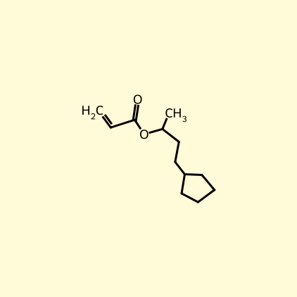 C=CC(=O)OC(C)CCC1CCCC1